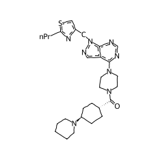 CCCc1nc(Cn2ncc3c(N4CCN(C(=O)[C@H]5CC[C@H](N6CCCCC6)CC5)CC4)ncnc32)cs1